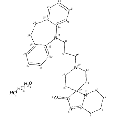 Cl.Cl.O.O=C1N=C2CCCCN2C12CCN(CCCN1c3ccccc3CCc3ccccc31)CC2